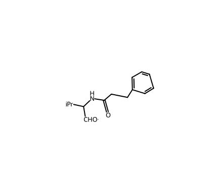 CC(C)C([C]=O)NC(=O)CCc1ccccc1